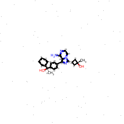 C[C@](O)(c1ccccc1)c1ccc(-c2nc([C@H]3C[C@@](C)(O)C3)n3ccnc(N)c23)cc1